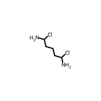 NC(Cl)CCCC(N)Cl